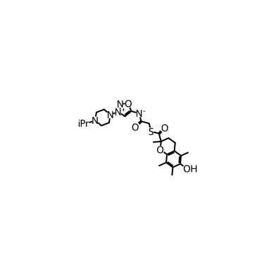 Cc1c(C)c2c(c(C)c1O)CCC(C)(C(=O)SCC(=O)[N-]c1c[n+](N3CCN(C(C)C)CC3)no1)O2